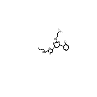 CCCNc1ncc(-c2cc(-c3ccccc3Cl)nc(NCCN(C)C)n2)s1